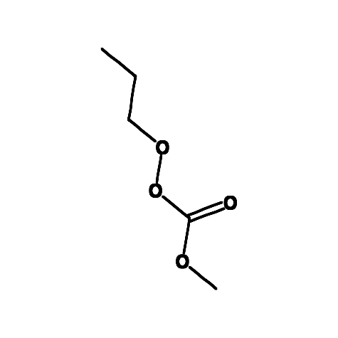 CCCOOC(=O)OC